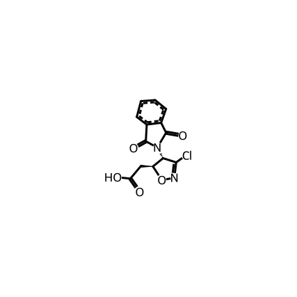 O=C(O)C[C@@H]1ON=C(Cl)[C@H]1N1C(=O)c2ccccc2C1=O